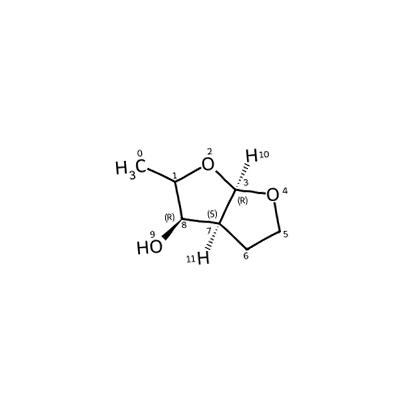 CC1O[C@H]2OCC[C@H]2[C@H]1O